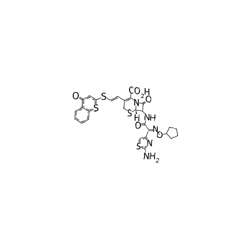 Nc1nc(C(=NOC2CCCC2)C(=O)NC2C(=O)N3C(C(=O)O)=C(C=CSc4cc(=O)c5ccccc5s4)CS[C@@H]23)cs1